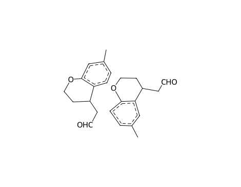 Cc1ccc2c(c1)C(CC=O)CCO2.Cc1ccc2c(c1)OCCC2CC=O